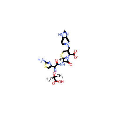 CC(C)(ON=C(C(=O)NC1C(=O)N2C(C(=O)[O-])=C(C[n+]3ccc4[nH]cnc4c3)CS[C@@H]12)c1csc(N)n1)C(=O)O